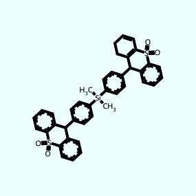 C[Si](C)(c1ccc(C2C3=C(C=CCC3)S(=O)(=O)c3ccccc32)cc1)c1ccc(C2c3ccccc3S(=O)(=O)c3ccccc32)cc1